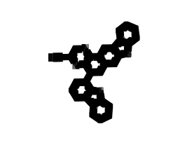 N#Cc1cnc2c(n1)c(-c1cccc3c1sc1ccccc13)cc1cc3sc4ccccc4c3cc12